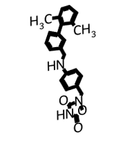 Cc1cccc(C)c1-c1cccc(CNc2ccc(Cn3oc(=O)[nH]c3=O)cc2)c1